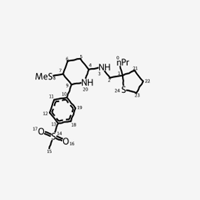 CCCC1(CNC2CCC(SC)C(c3ccc(S(C)(=O)=O)cc3)N2)CCCS1